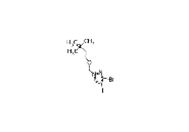 C[Si](C)(C)CCOCn1cc(I)c(Br)n1